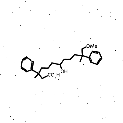 COCC(C)(CCCC(O)CCCC(C)(CC(=O)O)c1ccccc1)c1ccccc1